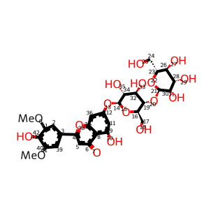 COc1cc(-c2cc(=O)c3c(O)cc(O[C@@H]4O[C@H](CO)[C@@H](O[C@H]5O[C@H](CO)[C@@H](O)[C@H](O)[C@H]5O)[C@H](O)[C@H]4O)cc3o2)cc(OC)c1O